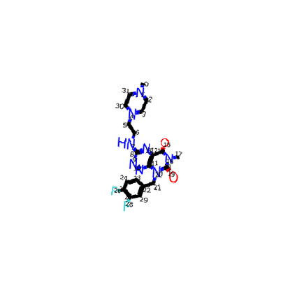 CN1CCN(CCNc2nnc3c(n2)c(=O)n(C)c(=O)n3Cc2ccc(F)c(F)c2)CC1